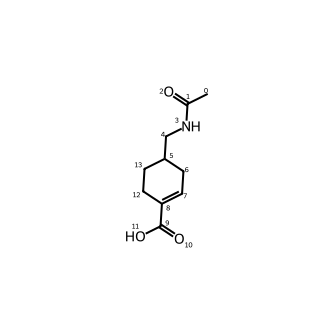 CC(=O)NCC1CC=C(C(=O)O)CC1